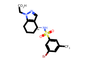 O=C(O)Cn1ncc2c1CCC[C@H]2NS(=O)(=O)c1cc(Br)cc(C(F)(F)F)c1